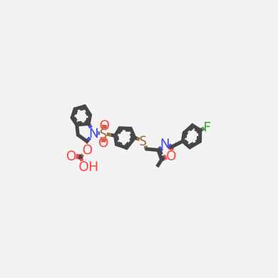 Cc1oc(-c2ccc(F)cc2)nc1CSc1ccc(S(=O)(=O)N2c3ccccc3C[C@H]2OC(=O)O)cc1